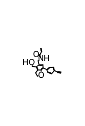 C#Cc1ccc(-c2cc(CNC(=O)C=C)c(CO)c3c2OCC3)cc1